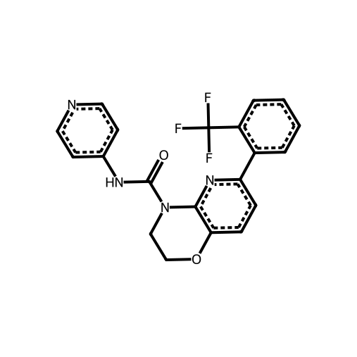 O=C(Nc1ccncc1)N1CCOc2ccc(-c3ccccc3C(F)(F)F)nc21